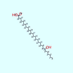 CCCCCCC(O)CCCCCCCCCCCCCCCCCCCCCC(=O)O